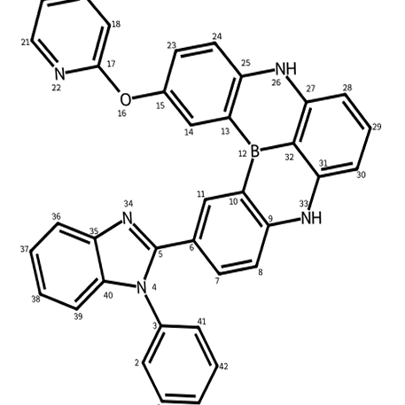 c1ccc(-n2c(-c3ccc4c(c3)B3c5cc(Oc6ccccn6)ccc5Nc5cccc(c53)N4)nc3ccccc32)cc1